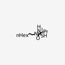 CCCCCCCCNC(=O)C(N)(S)C(C)C